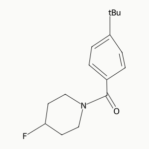 CC(C)(C)c1ccc(C(=O)N2CCC(F)CC2)cc1